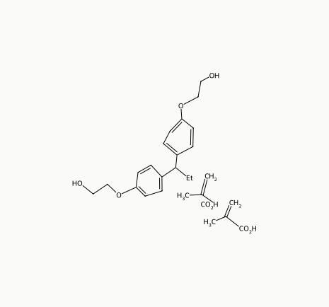 C=C(C)C(=O)O.C=C(C)C(=O)O.CCC(c1ccc(OCCO)cc1)c1ccc(OCCO)cc1